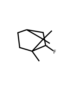 CC12CCC(C[C]1F)C2(C)C